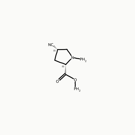 N#C[C@H]1C[C@@H](C(=O)OP)N(P)C1